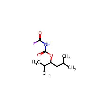 CC(C)CC(OC(=O)NC(=O)I)C(C)C